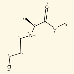 COC(=O)[C@H](C)NCCCCl